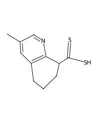 Cc1cnc2c(c1)CCCC2C(=S)S